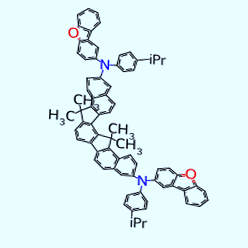 CC(C)c1ccc(N(c2ccc3c4c(ccc3c2)-c2c(ccc3c2C(C)(C)c2c-3ccc3cc(N(c5ccc(C(C)C)cc5)c5ccc6oc7ccccc7c6c5)ccc23)C4(C)C)c2ccc3oc4ccccc4c3c2)cc1